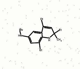 CCC1=CC(C)(CC)Nc2c(CC)cc(NC(C)CC)cc21